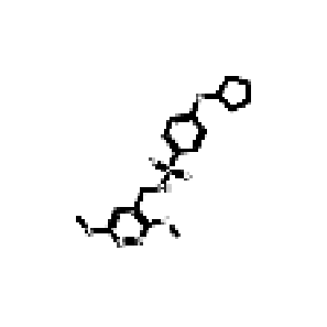 COc1cc(CNS(=O)(=O)c2ccc(OC3CCCC3)cc2)c(OC)nn1